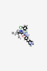 CC(C)(C)c1cc(NC(=O)Nc2ccc(Cc3ccncc3)cc2)n(-c2c(Cl)cccc2Cl)n1